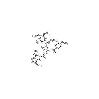 CCC(COC(=O)c1ccc(OC)c(OC)c1)(COC(=O)c1cc(OC)c(OC)c(OC)c1)COC(=O)c1cc(OC)c(OC)c(OC)c1